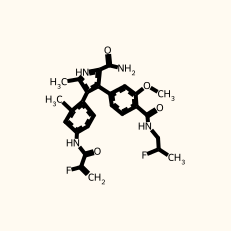 C=C(F)C(=O)Nc1ccc(-c2c(C)[nH]c(C(N)=O)c2-c2ccc(C(=O)NCC(C)F)c(OC)c2)c(C)c1